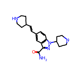 NC(=O)c1nn(C2CC[N]CC2)c2ccc(C=CC3CCNCC3)cc12